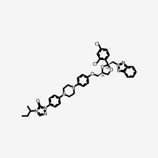 CCC(C)n1cnn(-c2ccc(N3CCN(c4ccc(OC[C@@H]5CO[C@@](Cn6nc7ccccc7n6)(c6ccc(Cl)cc6Cl)O5)cc4)CC3)cc2)c1=O